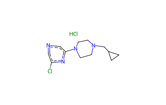 Cl.Clc1cncc(N2CCN(CC3CC3)CC2)n1